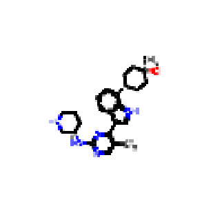 C[C@]1(O)CC[C@H](c2cccc3c(-c4nc(N[C@H]5CCCNC5)ncc4C(F)(F)F)c[nH]c32)CC1